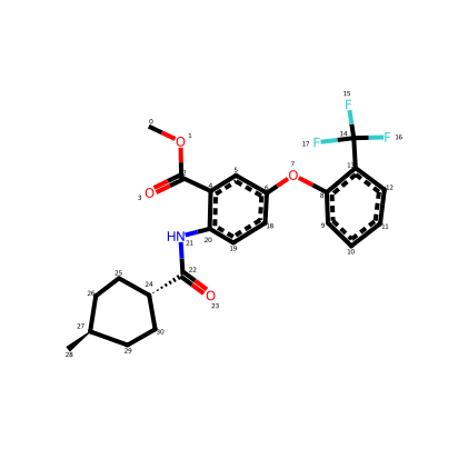 COC(=O)c1cc(Oc2ccccc2C(F)(F)F)ccc1NC(=O)[C@H]1CC[C@H](C)CC1